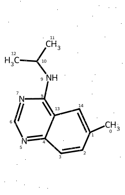 Cc1ccc2ncnc(NC(C)C)c2c1